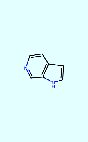 [c]1nccc2cc[nH]c12